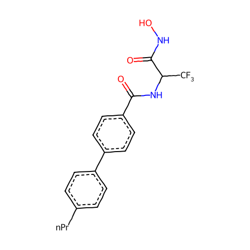 CCCc1ccc(-c2ccc(C(=O)NC(C(=O)NO)C(F)(F)F)cc2)cc1